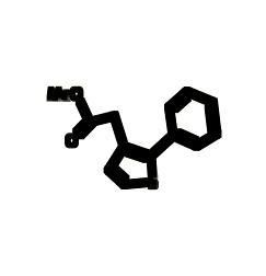 COC(=O)Cc1ccsc1-c1ccccc1